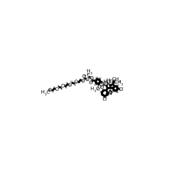 COCCOCCOCCOCCOCCOC(=O)OC(C)OC(=O)c1ccc(NC(=O)[C@@H]2NC(CC(C)(C)C)[C@](C#N)(c3ccc(Cl)cc3F)C2C2C#CC(Cl)=CC=C2)c(OC)c1